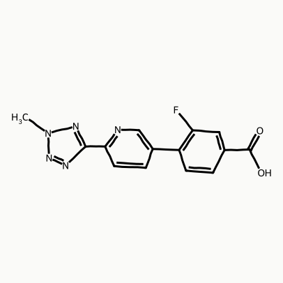 Cn1nnc(-c2ccc(-c3ccc(C(=O)O)cc3F)cn2)n1